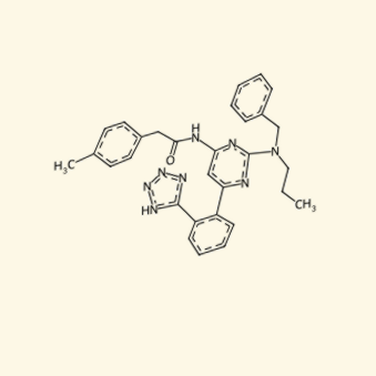 CCCN(Cc1ccccc1)c1nc(NC(=O)Cc2ccc(C)cc2)cc(-c2ccccc2-c2nnn[nH]2)n1